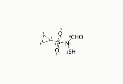 O=CN(S)S(=O)(=O)C1CC1